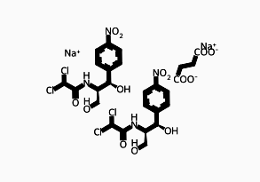 O=C(N[C@H](CO)[C@H](O)c1ccc([N+](=O)[O-])cc1)C(Cl)Cl.O=C(N[C@H](CO)[C@H](O)c1ccc([N+](=O)[O-])cc1)C(Cl)Cl.O=C([O-])CCC(=O)[O-].[Na+].[Na+]